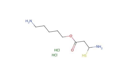 Cl.Cl.NCCCCCOC(=O)CC(N)S